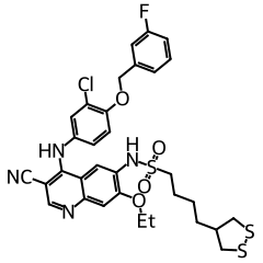 CCOc1cc2ncc(C#N)c(Nc3ccc(OCc4cccc(F)c4)c(Cl)c3)c2cc1NS(=O)(=O)CCCCC1CSSC1